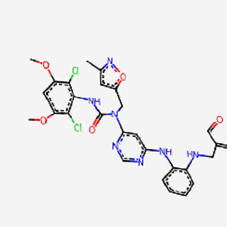 C=C(C=O)CNc1ccccc1Nc1cc(N(Cc2cc(C)no2)C(=O)Nc2c(Cl)c(OC)cc(OC)c2Cl)ncn1